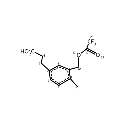 Cc1ccc(CCC(=O)O)cc1COC(=O)C(F)(F)F